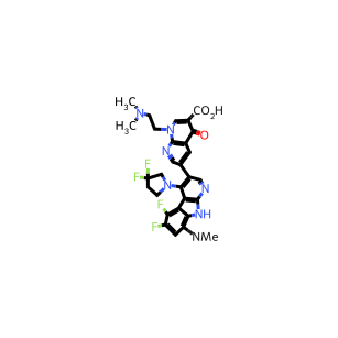 CNc1cc(F)c(F)c2c1[nH]c1ncc(-c3cnc4c(c3)c(=O)c(C(=O)O)cn4CCN(C)C)c(N3CCC(F)(F)C3)c12